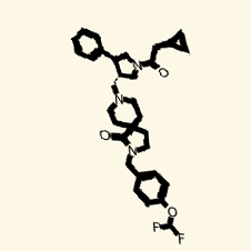 O=C(CC1CC1)N1CC(c2ccccc2)[C@@H](CN2CCC3(CC2)CCN(Cc2ccc(OC(F)F)cc2)C3=O)C1